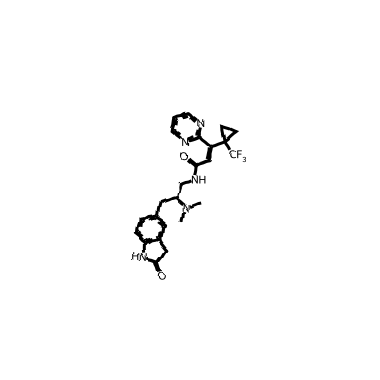 CN(C)[C@H](CNC(=O)C=C(c1ncccn1)C1(C(F)(F)F)CC1)Cc1ccc2c(c1)CC(=O)N2